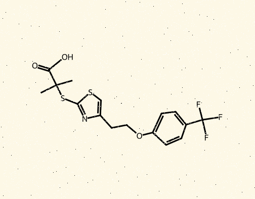 CC(C)(Sc1nc(CCOc2ccc(C(F)(F)F)cc2)cs1)C(=O)O